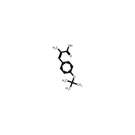 CC(=Cc1ccc(OC(C)(C)C)cc1)C(=O)O